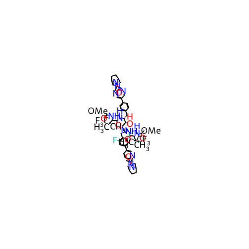 COC(=O)N[C@H](C(=O)N[C@@H](Cc1ccc(-c2cnc(N3CC4CCC(C3)N4C3COC3)nc2)cc1)[C@@H](O)CN(Cc1c(F)cc(-c2ccc(N3CC4CCC(C3)N4C3COC3)nc2)cc1F)NC(=O)[C@@H](NC(=O)OC)C(C)(C)C(F)(F)F)C(C)(C)C(F)(F)F